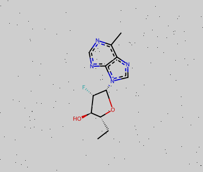 CC[C@H]1O[C@@H](n2cnc3c(C)ncnc32)[C@@H](F)[C@@H]1O